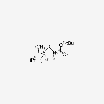 CC(C)CC1(CC#N)CCN(C(=O)OC(C)(C)C)CC1